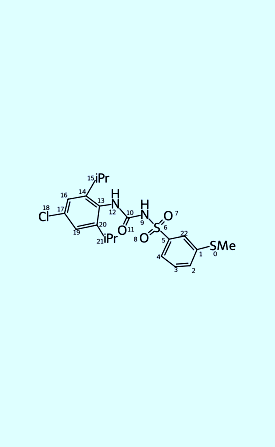 CSc1cccc(S(=O)(=O)NC(=O)Nc2c(C(C)C)cc(Cl)cc2C(C)C)c1